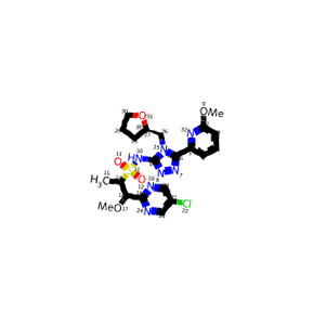 COc1cccc(-c2nnc(NS(=O)(=O)C(C)C(OC)c3ncc(Cl)cn3)n2C[C@H]2CCCO2)n1